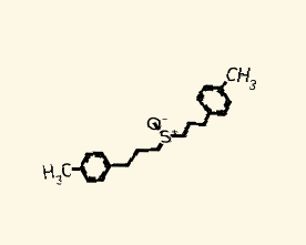 Cc1ccc(CCC[S+]([O-])CCCc2ccc(C)cc2)cc1